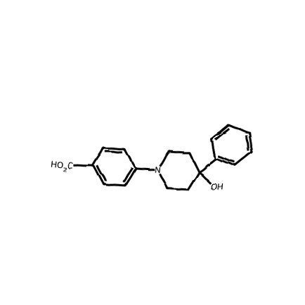 O=C(O)c1ccc(N2CCC(O)(c3ccccc3)CC2)cc1